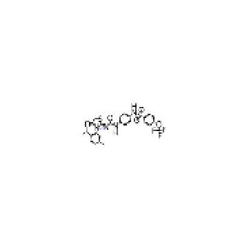 Cc1ccc(C(C)C)c(N2C(=O)CS/C2=N\C(=O)Nc2ccc(NS(=O)(=O)c3ccc(OC(F)(F)F)cc3)cc2)c1